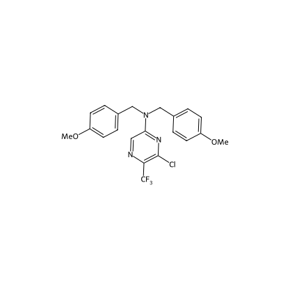 COc1ccc(CN(Cc2ccc(OC)cc2)c2cnc(C(F)(F)F)c(Cl)n2)cc1